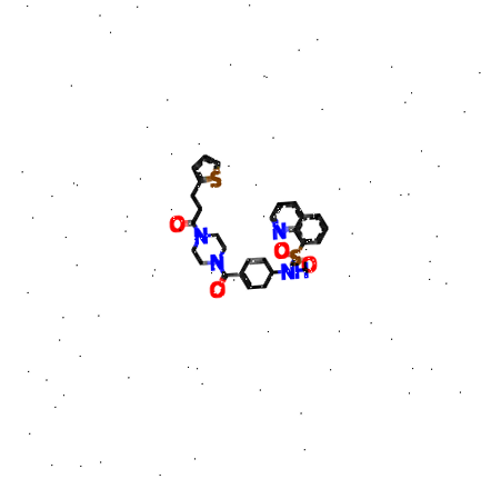 O=C(CCc1cccs1)N1CCN(C(=O)C2=CCC(NS(=O)(=O)c3cccc4cccnc34)C=C2)CC1